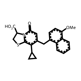 COc1ccc(Cc2cc(=O)n3c(c2C2CC2)SCC3C(=O)O)c2ccccc12